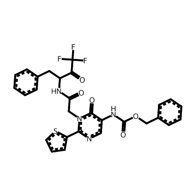 O=C(Cn1c(-c2cccs2)ncc(NC(=O)OCc2ccccc2)c1=O)NC(Cc1ccccc1)C(=O)C(F)(F)F